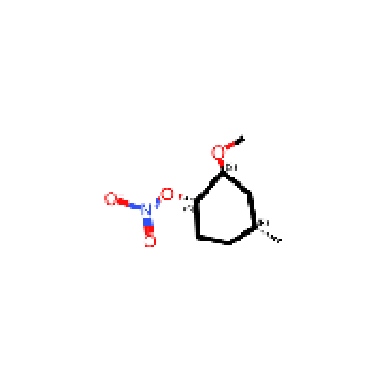 CO[C@H]1C[C@H](C)CC[C@@H]1O[N+](=O)[O-]